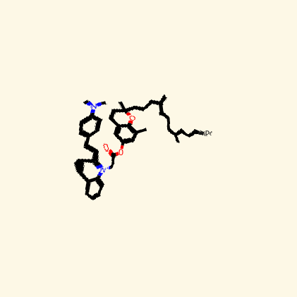 Cc1cc(OC(=O)C[n+]2c(/C=C/c3ccc(N(C)C)cc3)ccc3ccccc32)cc2c1OC(C)(CCCC(C)CCCC(C)CCCC(C)C)CC2